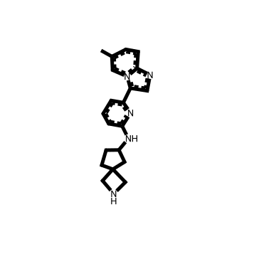 Cc1ccc2ncc(-c3cccc(NC4CCC5(CNC5)C4)n3)n2c1